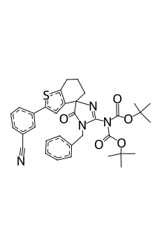 CC(C)(C)OC(=O)N(C(=O)OC(C)(C)C)C1=NC2(CCCc3sc(-c4cccc(C#N)c4)cc32)C(=O)N1Cc1ccccc1